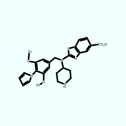 CCOc1cc(CN(c2nc3cc(C(=O)O)ccc3s2)C2CCNCC2)cc(OCC)c1-n1cccc1